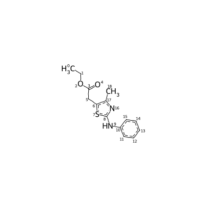 CCOC(=O)Cc1sc(Nc2ccccc2)nc1C